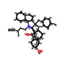 COC(C)CCN1/C(=C\C(=O)c2ccc(O)cc2)C(Cc2ccc(C)cc2)(Cc2ccc(C)cc2)c2ccc3ccccc3c21